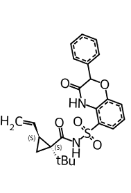 C=C[C@@H]1C[C@@]1(C(=O)NS(=O)(=O)c1cccc2c1NC(=O)C(c1ccccc1)O2)C(C)(C)C